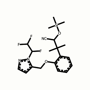 CC(C)(c1ccccc1OCc1ccnn1C(F)C(F)F)C(C#N)O[Si](C)(C)C